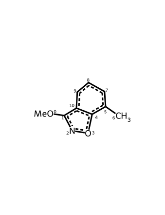 [CH2]Oc1noc2c(C)cccc12